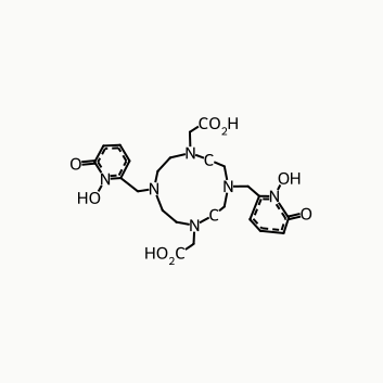 O=C(O)CN1CCN(Cc2cccc(=O)n2O)CCN(CC(=O)O)CCN(Cc2cccc(=O)n2O)CC1